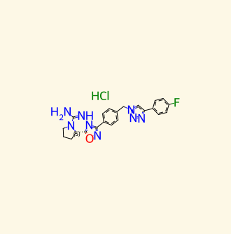 Cl.N=C(N)N1CCC[C@H]1c1nc(-c2ccc(Cn3cc(-c4ccc(F)cc4)nn3)cc2)no1